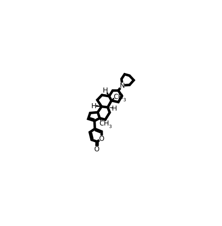 C[C@]12CCC(N3CCCCC3)C[C@H]1CC[C@H]1C3CC=C(c4ccc(=O)oc4)[C@]3(C)CC[C@@H]12